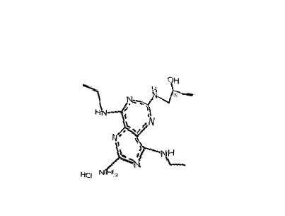 CCNc1nc(NC[C@H](C)O)nc2c(NCC)nc(N)nc12.Cl